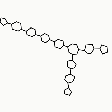 C1CCC(C2CCC(C3CCC(C4CCC(C5CCC(C6CCC(C7CCC(C8CCCC8)CC7)CC(C7CCC(C8CCC(C9CCCC9)CC8)CC7)C6)CC5)CC4)CC3)CC2)C1